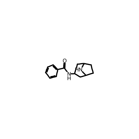 O=C(NC1CC2CCC(C1)N2)c1ccccc1